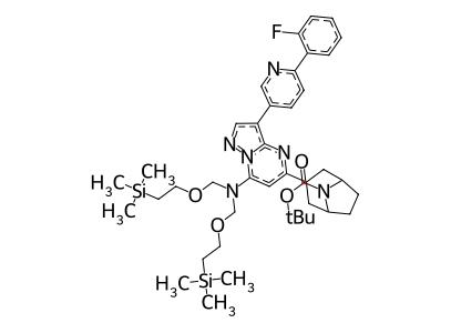 CC(C)(C)OC(=O)N1C2CCC1CC(c1cc(N(COCC[Si](C)(C)C)COCC[Si](C)(C)C)n3ncc(-c4ccc(-c5ccccc5F)nc4)c3n1)C2